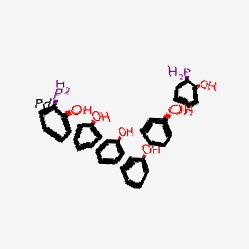 Oc1ccccc1.Oc1ccccc1.Oc1ccccc1.Oc1ccccc1.Oc1ccccc1P.Oc1ccccc1P.[Pd]